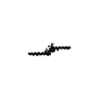 CCCCCCCCCCc1cnc(-c2ccc(C=C(F)CCCCCCC)c(F)c2F)nc1